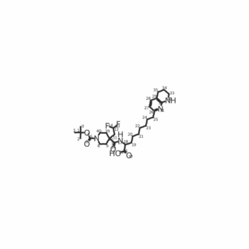 CC(C)(C)OC(=O)N1CCC(CC(F)F)(C(=O)NC(CCCCCCCc2ccc3c(n2)NCCC3)C(=O)O)CC1